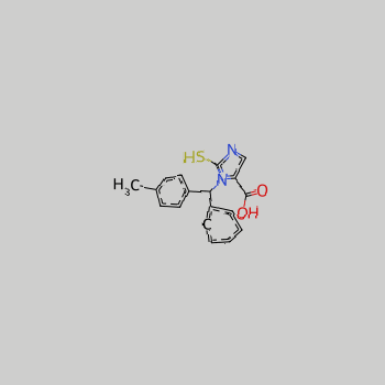 Cc1ccc(C(c2ccccc2)n2c(C(=O)O)cnc2S)cc1